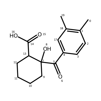 Cc1ccc(C(=O)C2(O)CCCCC2C(=O)O)cc1C